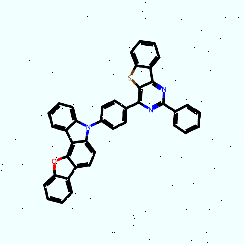 c1ccc(-c2nc(-c3ccc(-n4c5ccccc5c5c6oc7ccccc7c6ccc54)cc3)c3sc4ccccc4c3n2)cc1